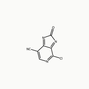 N#Cc1cnc(Cl)c2c1=NC(=O)N=2